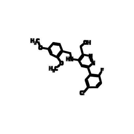 COc1ccc(CNc2cc(-c3cc(Cl)ccc3F)nnc2CO)c(OC)c1